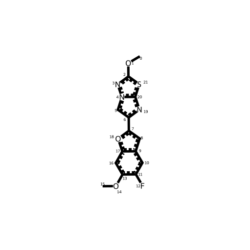 COc1nn2cc(-c3cc4cc(F)c(OC)cc4o3)nc2s1